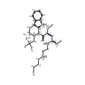 C=C(/C(=C\C(=N/C)NCCNCCCF)OC)[C@@H]1c2[nH]c3ccccc3c2C[C@@H](C)N1CC(C)(F)F